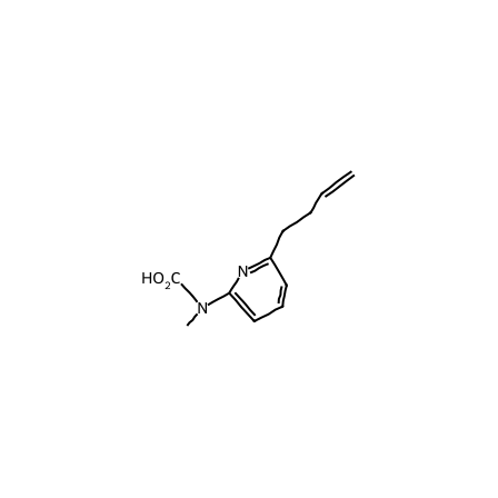 C=CCCc1cccc(N(C)C(=O)O)n1